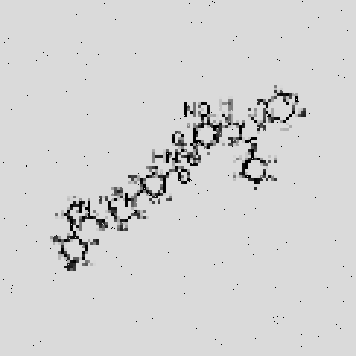 O=C(NS(=O)(=O)c1ccc(N[C@H](CCN2CCOCC2)CSc2ccccc2)c([N+](=O)[O-])c1)c1ccc(N2CCN(Cc3nccn3-c3ccccc3)CC2)cc1